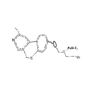 Cc1cc2c(cn1)COc1cc(OC[C@H](N)CC(C)C)ccc1-2